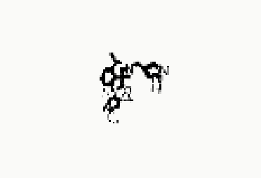 COc1cc(Cl)ncc1NC(=O)C1(c2ccccc2C(C)C)CN(Cc2cn[nH]c2)C1